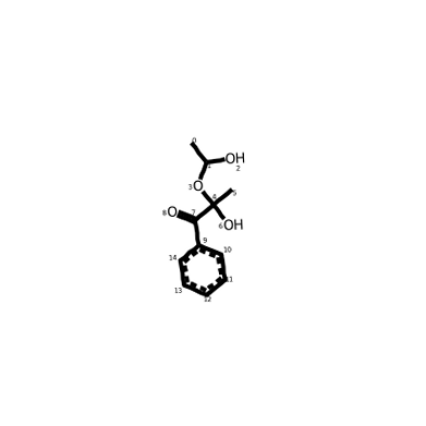 CC(O)OC(C)(O)C(=O)c1ccccc1